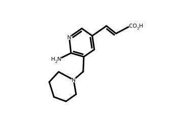 Nc1ncc(/C=C/C(=O)O)cc1CN1CCCCC1